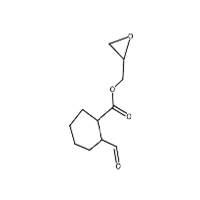 O=CC1CCCCC1C(=O)OCC1CO1